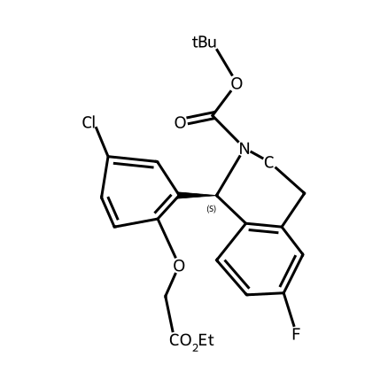 CCOC(=O)COc1ccc(Cl)cc1[C@@H]1c2ccc(F)cc2CCN1C(=O)OC(C)(C)C